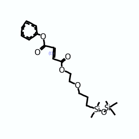 C[Si](C)(C)O[Si](C)(C)CCCOCCOC(=O)/C=C/C(=O)Oc1ccccc1